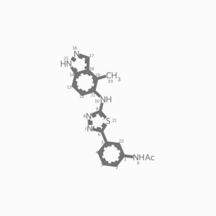 CC(=O)Nc1cccc(-c2nnc(Nc3ccc4[nH]ncc4c3C)s2)c1